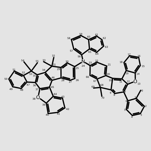 Cc1ccccc1-c1cc2c(c3c1oc1ccccc13)-c1ccc(N(c3ccc4c(c3)C(C)(C)c3c5c(c6oc7ccccc7c6c3-4)-c3ccccc3C5(C)C)c3cccc4ccccc34)cc1C2(C)C